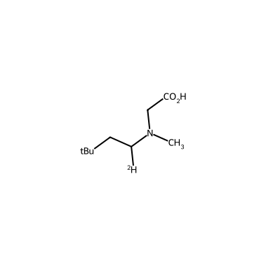 [2H]C(CC(C)(C)C)N(C)CC(=O)O